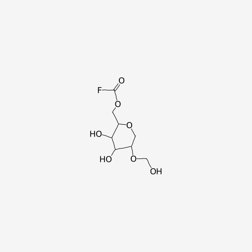 O=C(F)OCC1OCC(OCO)C(O)C1O